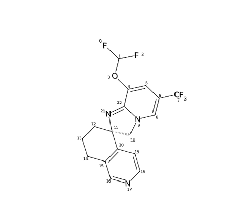 FC(F)OC1=CC(C(F)(F)F)=CN2C[C@]3(CCCc4cnccc43)N=C12